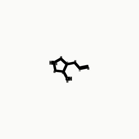 C=CCC1CNCC1O